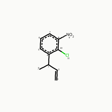 [CH2]C(C=C)c1cccc([N+](=O)[O-])c1Cl